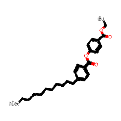 CCCCCCCCCCCCCCCCCCCCc1ccc(C(=O)Oc2ccc(C(=O)OCC(C)CC)cc2)cc1